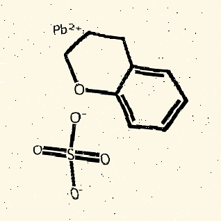 O=S(=O)([O-])[O-].[Pb+2].c1ccc2c(c1)CCCO2